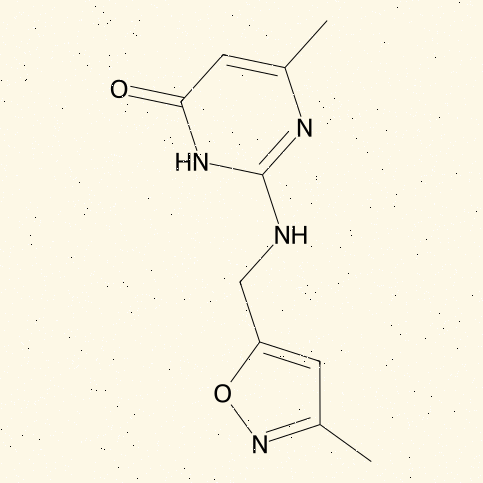 Cc1cc(CNc2nc(C)cc(=O)[nH]2)on1